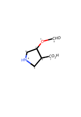 O=COC1CNCC1C(=O)O